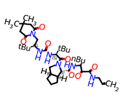 C=CCNC(=O)C(=O)C(CCCC)NC(=O)[C@@H]1[C@H]2CCC[C@H]2CN1C(=O)[C@@H](NC(=O)N[C@H](CN1C(=O)CC(C)(C)CC1=O)C(C)(C)C)C(C)(C)C